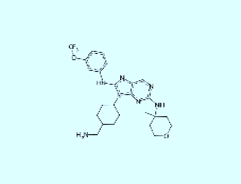 CC1(Nc2ncc3nc(Nc4cccc(OC(F)(F)F)c4)n(C4CCC(CN)CC4)c3n2)CCOCC1